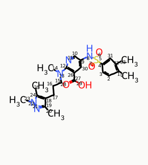 Cc1ccc(S(=O)(=O)Nc2cnc(N(C)CCCc3c(C)nn(C)c3C)c(C(=O)O)c2)cc1C